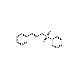 O=S(=O)(ON=Nc1ccccc1)c1ccccc1